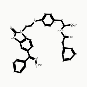 CON=C(c1ccccc1)c1ccc2c(c1)sc(=O)n2CCOc1ccc(CC(NC(=O)Cc2ccccc2)C(=O)O)cc1